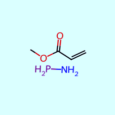 C=CC(=O)OC.NP